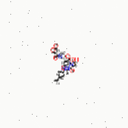 C[C@H](NC(=O)c1ccsn1)[C@H](Oc1ccc(C(=O)O)c([C@@H]2CCCN(C(=O)[C@H]3COC(=O)C3)C2)c1)c1ccc(C2CC2)cc1